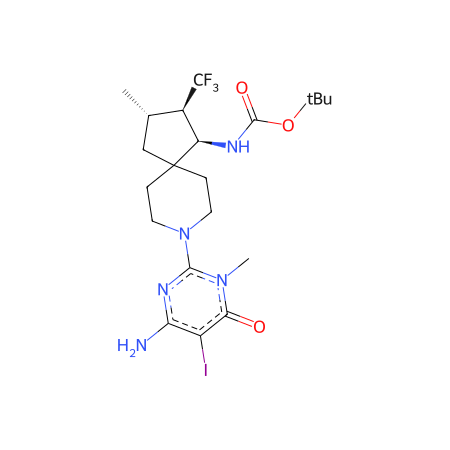 C[C@H]1CC2(CCN(c3nc(N)c(I)c(=O)n3C)CC2)[C@H](NC(=O)OC(C)(C)C)[C@@H]1C(F)(F)F